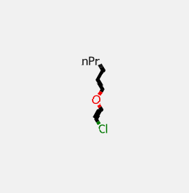 CCCCCCOC=CCl